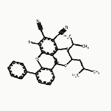 CC(C)CC(CC(C)C)OC(=O)c1cccc(-c2ccccc2)c1Oc1c(F)c(F)c(C#N)c(C#N)c1F